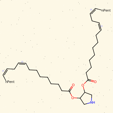 CCCCC/C=C\C/C=C\CCCCCCCC(=O)OC1CNCC1OC(=O)CCCCCCC/C=C\C/C=C\CCCCC